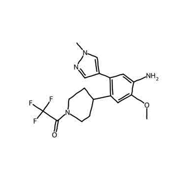 COc1cc(C2CCN(C(=O)C(F)(F)F)CC2)c(-c2cnn(C)c2)cc1N